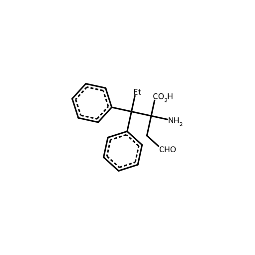 CCC(c1ccccc1)(c1ccccc1)C(N)(CC=O)C(=O)O